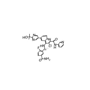 C[C@@H](Nc1c(Cl)c(C(=O)Nc2cccnc2)nc2ccc(-c3cnc(C(C)(C)O)nc3)cc12)c1cc(C(N)=O)ccc1F